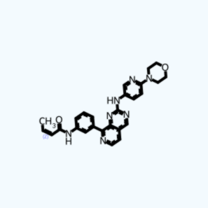 C/C=C\C(=O)Nc1cccc(-c2nccc3cnc(Nc4ccc(N5CCOCC5)nc4)nc23)c1